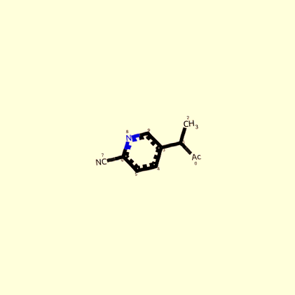 CC(=O)C(C)c1ccc(C#N)nc1